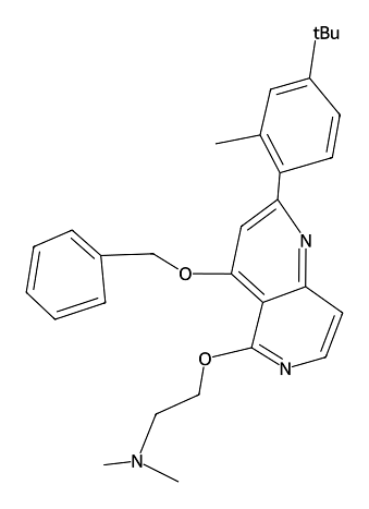 Cc1cc(C(C)(C)C)ccc1-c1cc(OCc2ccccc2)c2c(OCCN(C)C)nccc2n1